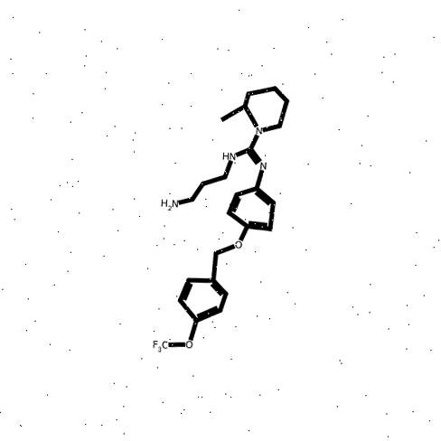 CC1CCCCN1/C(=N/c1ccc(OCc2ccc(OC(F)(F)F)cc2)cc1)NCCCN